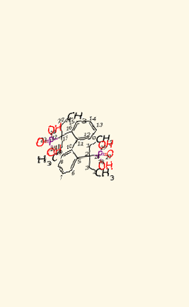 CCC(CC)(c1ccccc1-c1ccccc1C(CC)(CC)P(=O)(O)O)P(=O)(O)O